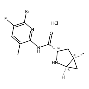 Cc1cc(F)c(Br)nc1NC(=O)[C@@H]1C[C@@]2(C)C[C@H]2N1.Cl